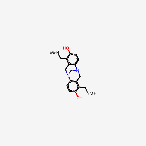 CNCc1c(O)ccc2c1CN1CN2Cc2c1ccc(O)c2CNC